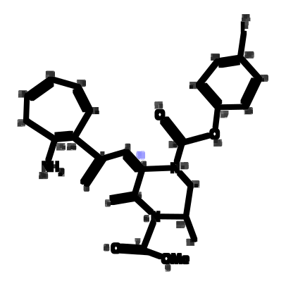 C=C(/C=C1\C(=C)N(C(=O)OC)C(C)CN1C(=O)Oc1ccc(F)cc1)C1=C(N)CC=CC=C1